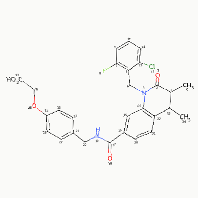 CC1C(=O)N(Cc2c(F)cccc2Cl)c2cc(C(=O)NCc3ccc(OCC(=O)O)cc3)ccc2C1C